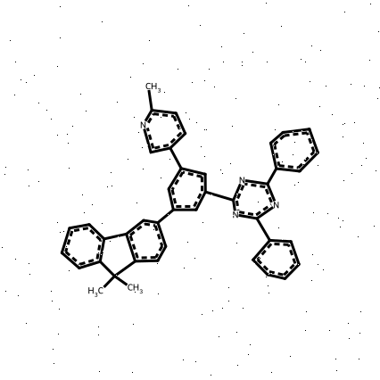 Cc1ccc(-c2cc(-c3ccc4c(c3)-c3ccccc3C4(C)C)cc(-c3nc(-c4ccccc4)nc(-c4ccccc4)n3)c2)cn1